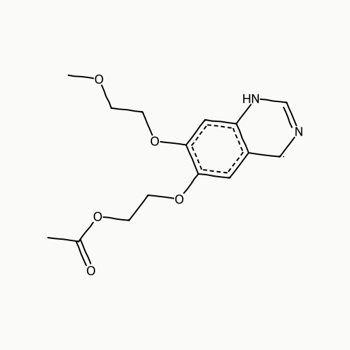 COCCOc1cc2c(cc1OCCOC(C)=O)[CH]N=CN2